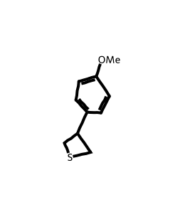 COc1ccc(C2CSC2)cc1